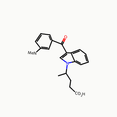 CNc1cccc(C(=O)c2cn(C(C)CCC(=O)O)c3ccccc23)c1